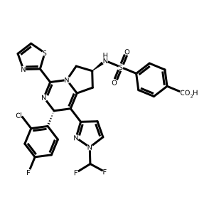 O=C(O)c1ccc(S(=O)(=O)N[C@H]2CC3=C(c4ccn(C(F)F)n4)[C@H](c4ccc(F)cc4Cl)N=C(c4nccs4)N3C2)cc1